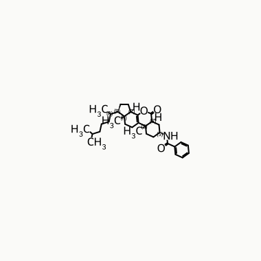 CC(C)CCC[C@@H](C)[C@H]1CC[C@H]2C3=C(CC[C@]12C)[C@@]1(C)CC[C@H](NC(=O)c2ccccc2)C[C@@H]1C(=O)O3